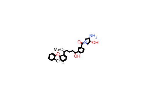 COC(CCCC(O)c1cccc(C(=O)N2C[C@@H](N)[C@@H](O)C2)c1)c1ccccc1Oc1ccccc1C